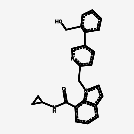 O=C(NC1[CH]C1)c1cccc2ccn(Cc3ccc(-c4ccccc4CO)cn3)c12